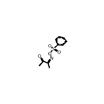 CC(=O)C(C)=NOS(=O)(=O)c1ccccc1